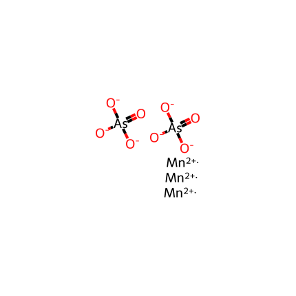 O=[As]([O-])([O-])[O-].O=[As]([O-])([O-])[O-].[Mn+2].[Mn+2].[Mn+2]